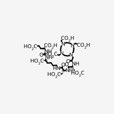 O=C(O)CC[C@H](NC(=O)N[C@@H](CCCCNC(=O)[C@@H](CC(=O)O)NC(=O)[C@@H](CC(=O)O)NC(=O)CN1CCN(CC(=O)O)CCN(CC(=O)O)CCN(CC(=O)O)CC1)C(=O)O)C(=O)O